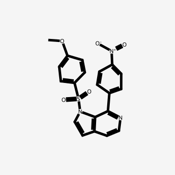 COc1ccc(S(=O)(=O)n2ccc3ccnc(-c4ccc([N+](=O)[O-])cc4)c32)cc1